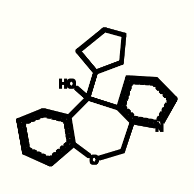 OC1(C2CCCC2)c2ccccc2OCc2ncccc21